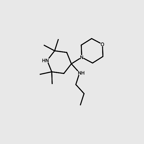 CCCNC1(N2CCOCC2)CC(C)(C)NC(C)(C)C1